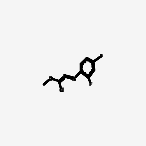 COC(Cl)=S=Nc1ccc(F)cc1F